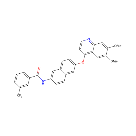 COc1cc2nccc(Oc3ccc4cc(NC(=O)c5cccc(C(F)(F)F)c5)ccc4c3)c2cc1OC